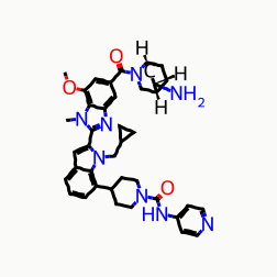 COc1cc(C(=O)N2C[C@H]3CC[C@@H]2C[C@@H]3N)cc2nc(-c3cc4cccc(C5CCN(C(=O)Nc6ccncc6)CC5)c4n3CC3CC3)n(C)c12